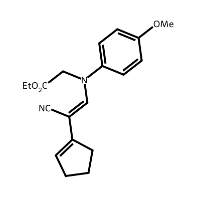 CCOC(=O)CN(C=C(C#N)C1=CCCC1)c1ccc(OC)cc1